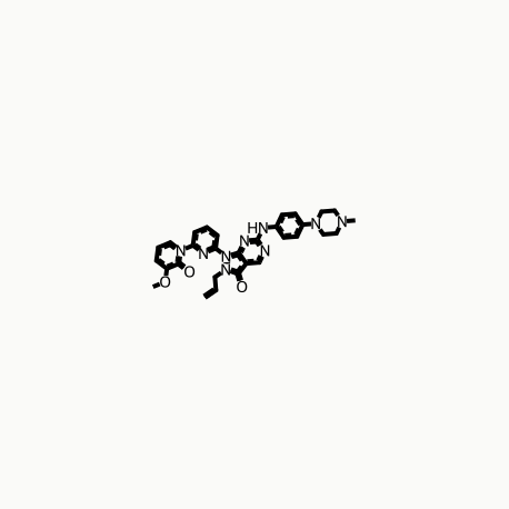 C=CCn1c(=O)c2cnc(Nc3ccc(N4CCN(C)CC4)cc3)nc2n1-c1cccc(-n2cccc(OC)c2=O)n1